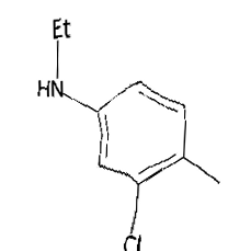 CCNc1ccc(C)c(Cl)c1